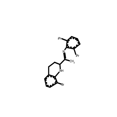 C/C(=N\c1c(C(C)C)cccc1C(C)C)C1CCc2cccc(Br)c2N1